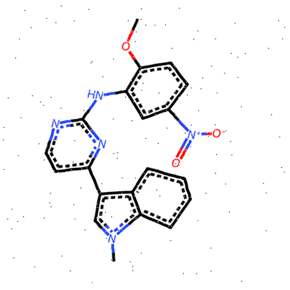 COc1ccc([N+](=O)[O-])cc1Nc1nccc(-c2cn(C)c3ccccc23)n1